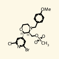 COc1ccc(CN2CCO[C@@H](c3cc(Cl)nc(Br)c3)[C@@H]2COS(C)(=O)=O)cc1